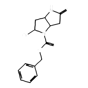 CC(C)C1CC2NC(=O)CC2N1C(=O)OCc1ccccc1